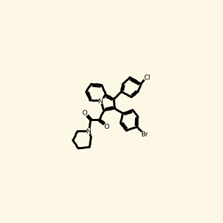 O=C(C(=O)N1CCCCC1)c1c(-c2ccc(Br)cc2)c(-c2ccc(Cl)cc2)c2ccccn12